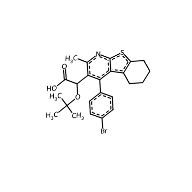 Cc1nc2sc3c(c2c(-c2ccc(Br)cc2)c1C(OC(C)(C)C)C(=O)O)CCCC3